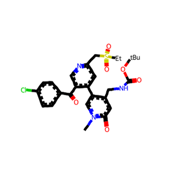 CCS(=O)(=O)Cc1cc(-c2cn(C)c(=O)cc2CNC(=O)OC(C)(C)C)c(C(=O)c2ccc(Cl)cc2)cn1